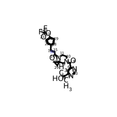 CC(C)(O)c1cc(C(=O)N2CCN(C(=O)/C=C/c3ccc4c(c3)OC(F)(F)O4)C3(CC3)C2)ncn1